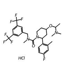 Cc1cc(F)ccc1C1CC(OC(C)N(C)C)CCN1C(=O)N(C)Cc1cc(C(F)(F)F)cc(C(F)(F)F)c1.Cl